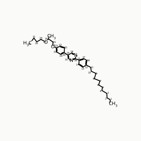 CCCCCCCCCCCCc1ccc(-c2ncc(-c3ccc(OCC(C)OCCCC)cc3)cn2)cc1